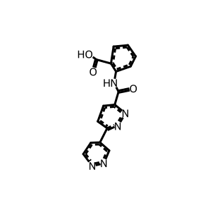 O=C(Nc1ccccc1C(=O)O)c1ccc(-c2ccnnc2)nn1